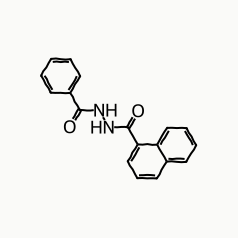 O=C(NNC(=O)c1cccc2ccccc12)c1ccccc1